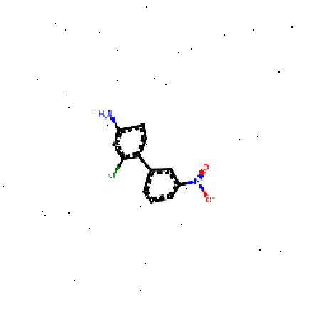 Nc1ccc(-c2cccc([N+](=O)[O-])c2)c(Cl)c1